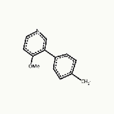 [CH2]c1ccc(-c2cnccc2OC)cc1